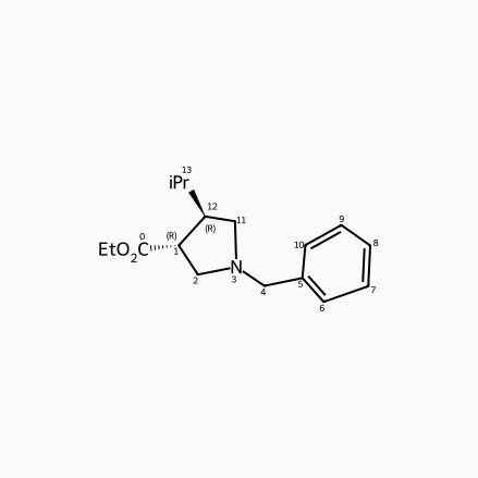 CCOC(=O)[C@H]1CN(Cc2ccccc2)C[C@@H]1C(C)C